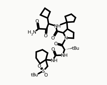 CC1(C2CCN(C(=O)[C@@H](NC(=O)NC3(CS(=O)(=O)C(C)(C)C)CCCCC3)C(C)(C)C)C2C(=O)NC(C(=O)C(N)=O)C2CCC2)CCCC1